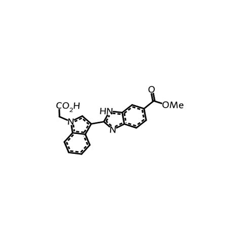 COC(=O)c1ccc2nc(-c3cn(CC(=O)O)c4ccccc34)[nH]c2c1